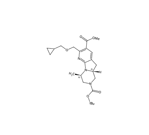 COC(=O)c1cc2c(nc1COCC1CC1)N1[C@H](C2)CN(C(=O)OC(C)(C)C)C[C@H]1C